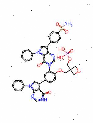 NS(=O)(=O)c1ccc(-c2cn(-c3ccccc3)c3c(=O)n(-c4cc(-c5cn(-c6ccccc6)c6nc[nH]c(=O)c56)ccc4OCC4(COP(=O)(O)O)COC4)cnc23)cc1